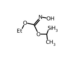 CCOC(=NO)OC(C)[SiH3]